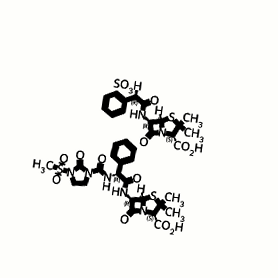 CC1(C)S[C@@H]2[C@H](NC(=O)[C@@H](c3ccccc3)S(=O)(=O)O)C(=O)N2[C@H]1C(=O)O.CC1(C)S[C@@H]2[C@H](NC(=O)[C@H](NC(=O)N3CCN(S(C)(=O)=O)C3=O)c3ccccc3)C(=O)N2[C@H]1C(=O)O